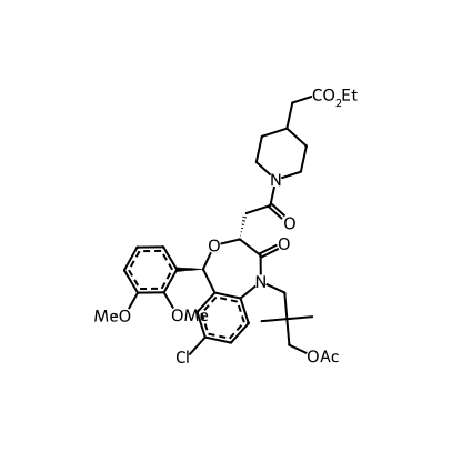 CCOC(=O)CC1CCN(C(=O)C[C@H]2O[C@H](c3cccc(OC)c3OC)c3cc(Cl)ccc3N(CC(C)(C)COC(C)=O)C2=O)CC1